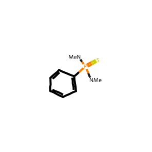 CNP(=S)(NC)c1ccccc1